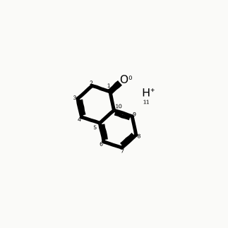 O=C1CC=Cc2ccccc21.[H+]